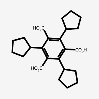 O=C(O)c1c(C2CCCC2)c(C(=O)O)c(C2CCCC2)c(C(=O)O)c1C1CCCC1